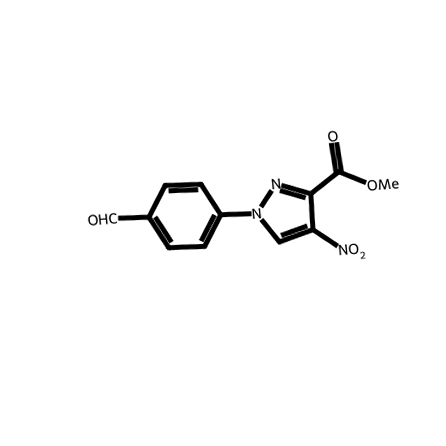 COC(=O)c1nn(-c2ccc(C=O)cc2)cc1[N+](=O)[O-]